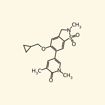 Cc1cc(-c2cc3c(cc2OCC2CC2)CN(C)S3(=O)=O)cn(C)c1=O